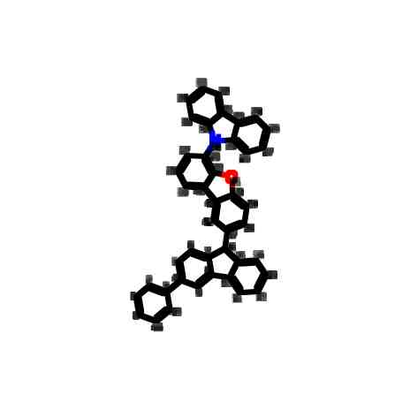 c1ccc(-c2ccc3c(c2)-c2ccccc2C3c2ccc3oc4c(-n5c6ccccc6c6ccccc65)cccc4c3c2)cc1